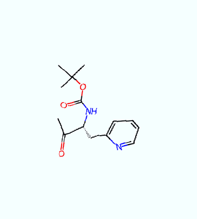 CC(=O)[C@@H](Cc1ccccn1)NC(=O)OC(C)(C)C